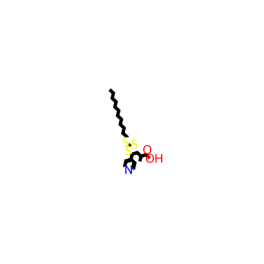 CCCCCCCCCCCCSC(=S)SC(CC(C)C(=O)O)c1ccncc1